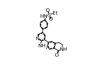 CCS(=O)(=O)Nc1ccc(-c2cnc(N)c(-c3ccc4c(c3)CCNC4=O)c2)cc1